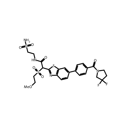 COCCS(=O)(=O)C(C(=O)NCCS(N)(=O)=O)c1nc2ccc(-c3ccc(C(=O)N4CCC(F)(F)C4)cc3)cc2s1